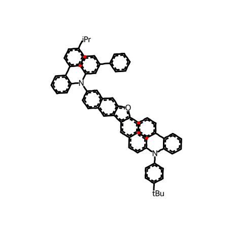 CC(C)c1ccc(-c2ccccc2N(c2cccc(-c3ccccc3)c2)c2ccc3cc4c(cc3c2)oc2cc3cc(N(c5ccc(C(C)(C)C)cc5)c5ccccc5-c5ccccc5)ccc3cc24)cc1